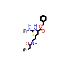 CC(C)CC(=O)NCCCCC(NC(=S)NC(C)C)C(=O)OCc1ccccc1